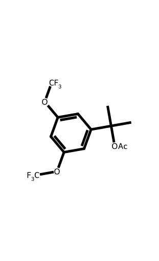 CC(=O)OC(C)(C)c1cc(OC(F)(F)F)cc(OC(F)(F)F)c1